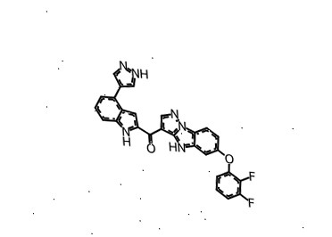 O=C(c1cc2c(-c3cn[nH]c3)cccc2[nH]1)c1cnn2c1[nH]c1cc(Oc3cccc(F)c3F)ccc12